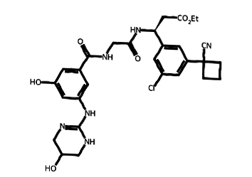 CCOC(=O)C[C@H](NC(=O)CNC(=O)c1cc(O)cc(NC2=NCC(O)CN2)c1)c1cc(Cl)cc(C2(C#N)CCC2)c1